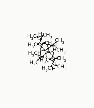 C[SiH](C)O[Si](O[SiH](C)C)(O[Si](C)(C)[SiH](C)C)O[Si](C)(C)[SiH](C)C